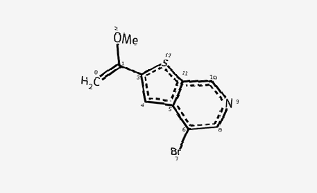 C=C(OC)c1cc2c(Br)cncc2s1